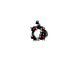 C=C1C[C@@H]2CC[C@@]34C[C@H]5O[C@H]6[C@@H](O3)[C@H]3OC(CC[C@@H]3O[C@H]6[C@H]5O4)CC(=O)C[C@@H]3[C@@H](C)[C@@H](C[C@H]4CO4)O[C@H]3C[C@H]3OC(CC[C@@H]1O2)C[C@@H](C)C3=C